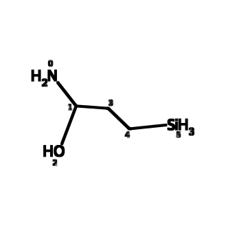 NC(O)CC[SiH3]